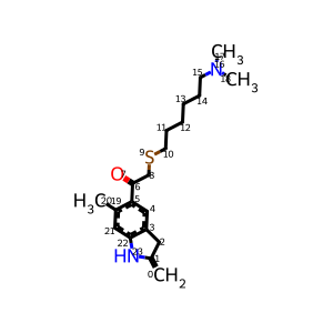 C=C1Cc2cc(C(=O)CSCCCCCCN(C)C)c(C)cc2N1